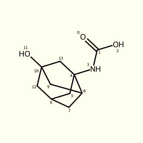 O=C(O)NC12CC3CC1CC(O)(C3)C2